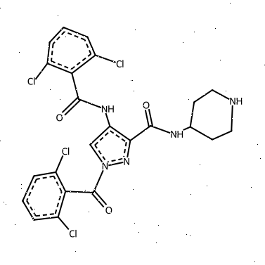 O=C(NC1CCNCC1)c1nn(C(=O)c2c(Cl)cccc2Cl)cc1NC(=O)c1c(Cl)cccc1Cl